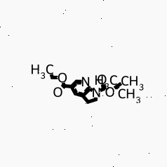 CCOC(=O)c1cnc2c(c1)CCN2C(=O)OC(C)(C)C